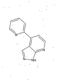 c1ccc(-c2ccnc3[nH]ncc23)nc1